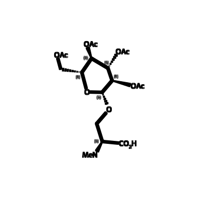 CN[C@@H](CO[C@@H]1O[C@H](COC(C)=O)[C@@H](OC(C)=O)[C@H](OC(C)=O)[C@H]1OC(C)=O)C(=O)O